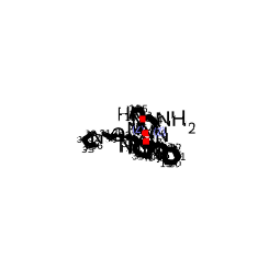 N=C1C=C(N)/C(=N/c2c(OCCN3CCCC3)nn3ccccc23)N/C1=N\c1c(OCCN2CCCC2)nn2ccccc12